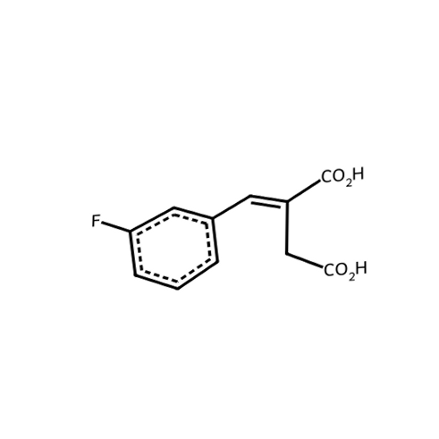 O=C(O)CC(=Cc1cccc(F)c1)C(=O)O